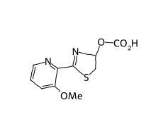 COc1cccnc1C1=NC(OC(=O)O)CS1